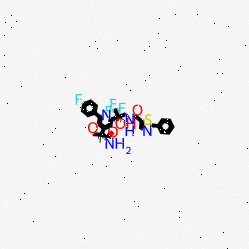 C[C@]1(C(N)=O)COc2c1cc([C@@](O)(CNC(=O)c1cnc(-c3ccccc3)s1)C(F)(F)F)nc2-c1ccc(F)cc1